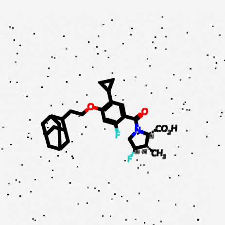 C[C@@H]1[C@H](F)CN(C(=O)c2cc(C3CC3)c(OCCC3C4CC5CC(C4)CC3C5)cc2F)[C@@H]1C(=O)O